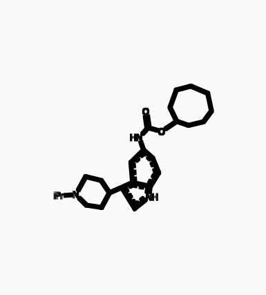 CC(C)N1CCC(c2c[nH]c3ccc(NC(=O)OC4CCCCCCC4)cc23)CC1